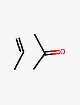 C=CC.CC(C)=O